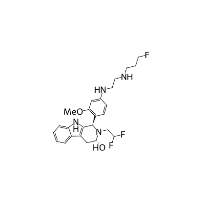 COc1cc(NCCNCCCF)ccc1[C@@H]1c2[nH]c3ccccc3c2C[C@@H](O)N1CC(F)F